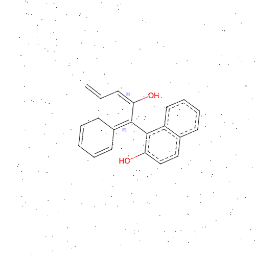 C=C/C=C(O)\C(=C1\C=CC=CC1)c1c(O)ccc2ccccc12